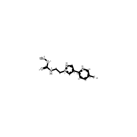 CC(C)(C)OC(=O)NCCn1cc(-c2ccc(F)cn2)cn1